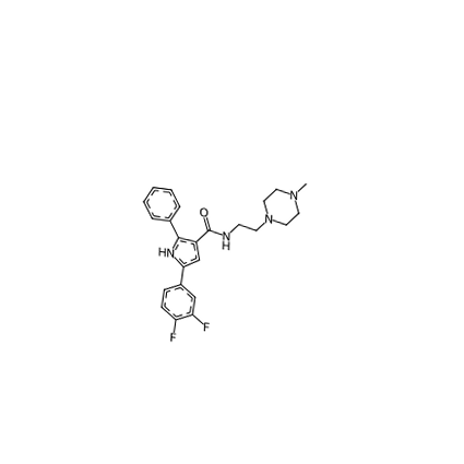 CN1CCN(CCNC(=O)c2cc(-c3ccc(F)c(F)c3)[nH]c2-c2ccccc2)CC1